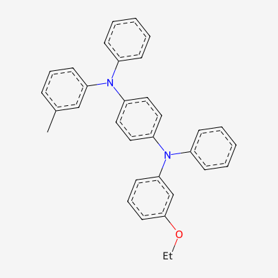 CCOc1cccc(N(c2ccccc2)c2ccc(N(c3ccccc3)c3cccc(C)c3)cc2)c1